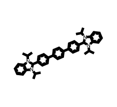 CC(C)N1c2ccccc2N(C(C)C)C1c1ccc(-c2ccc(-c3ccc(C4N(C(C)C)c5ccccc5N4C(C)C)cc3)cc2)cc1